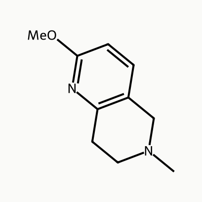 COc1ccc2c(n1)CCN(C)C2